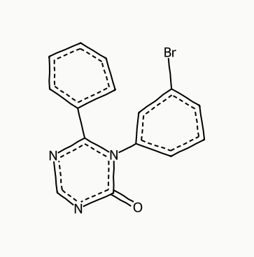 O=c1ncnc(-c2ccccc2)n1-c1cccc(Br)c1